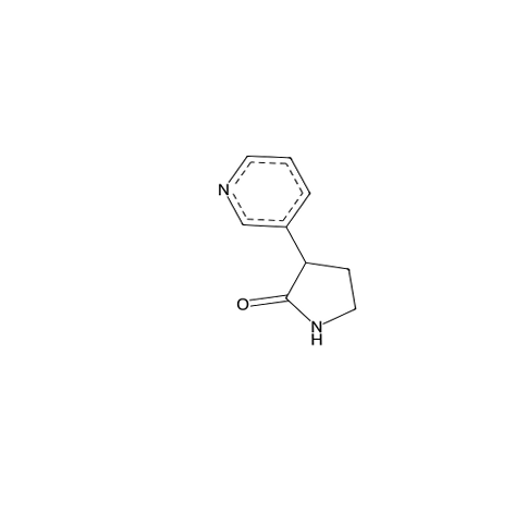 O=C1NCCC1c1cccnc1